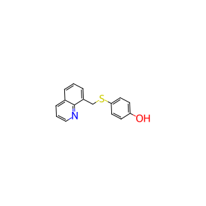 Oc1ccc(SCc2cccc3cccnc23)cc1